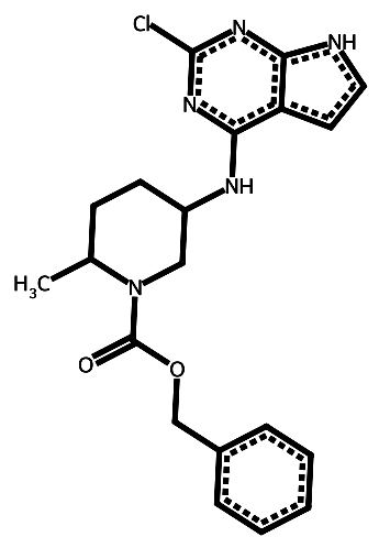 CC1CCC(Nc2nc(Cl)nc3[nH]ccc23)CN1C(=O)OCc1ccccc1